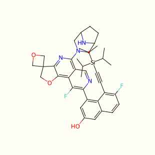 CC(C)[Si](C#Cc1c(F)ccc2cc(O)cc(-c3ncc4c(N5CC6CCC(C5)N6)nc5c(c4c3F)OCC53COC3)c12)(C(C)C)C(C)C